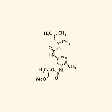 C=C(C)CC(C)OC(=O)Nc1ccc(C)c(NC(=O)OC(C)COC)c1